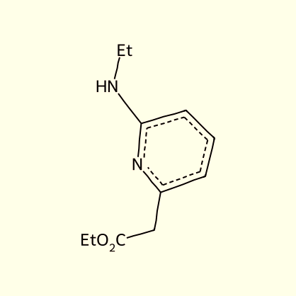 CCNc1cccc(CC(=O)OCC)n1